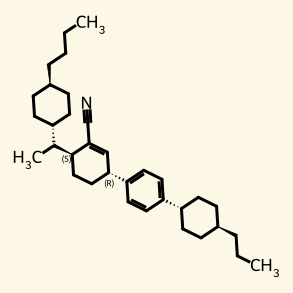 CCCC[C@H]1CC[C@H](C(C)[C@@H]2CC[C@@H](c3ccc([C@H]4CC[C@H](CCC)CC4)cc3)C=C2C#N)CC1